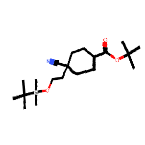 CC(C)(C)OC(=O)C1CCC(C#N)(CCO[Si](C)(C)C(C)(C)C)CC1